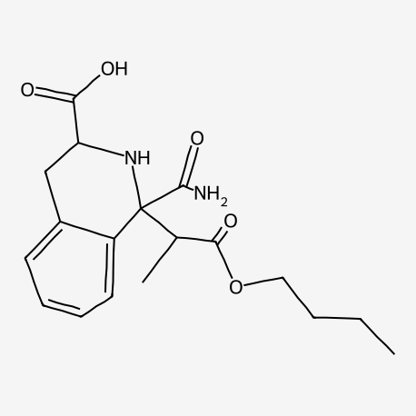 CCCCOC(=O)C(C)C1(C(N)=O)NC(C(=O)O)Cc2ccccc21